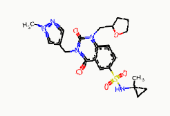 Cn1cc(Cn2c(=O)c3cc(S(=O)(=O)NC4(C)CC4)ccc3n(CC3CCCO3)c2=O)cn1